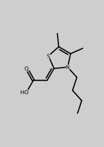 CCCCN1C(C)=C(C)S/C1=C\C(=O)O